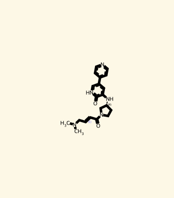 CN(C)C/C=C/C(=O)N1CC[C@@H](Nc2cc(-c3ccncc3)c[nH]c2=O)C1